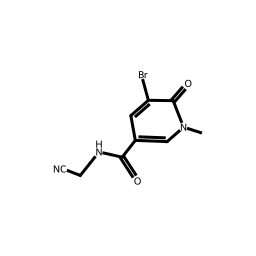 Cn1cc(C(=O)NCC#N)cc(Br)c1=O